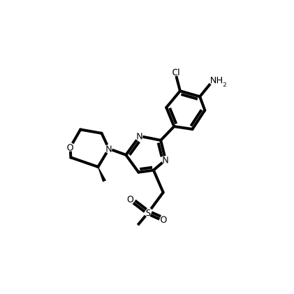 C[C@H]1COCCN1c1cc(CS(C)(=O)=O)nc(-c2ccc(N)c(Cl)c2)n1